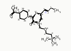 CC/C=C/c1cn(COCC[Si](C)(C)C)c(=O)c(N2CCC(C(C)=O)CC2)n1